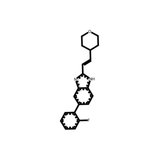 Fc1ccccc1-c1ccc2[nH]c(C=CC3CCOCC3)nc2c1